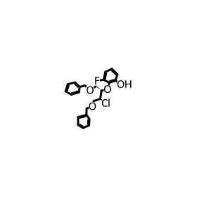 Oc1cccc(F)c1O[C@@H](COCc1ccccc1)[C@H](Cl)COCc1ccccc1